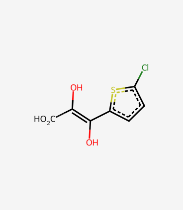 O=C(O)C(O)=C(O)c1ccc(Cl)s1